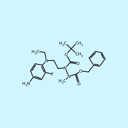 CCN(CCN(C(=O)OC(C)(C)C)N(C)C(=O)OCc1ccccc1)c1ccc(N)cc1F